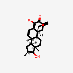 C#CC[C@]12CCC(=O)C(O)=C1C=C[C@@H]1[C@@H]2CC[C@]2(C)C(O)[C@@H](C)C[C@@H]12